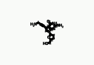 NCC#Cc1cn(C2CCC(CO)O2)c2nc(N)[nH]c(=O)c12